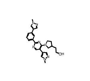 Cn1cc(-c2cccc(-c3ncc(-c4cnn(C)c4)c(N4CCC(CCO)C4)n3)c2)cn1